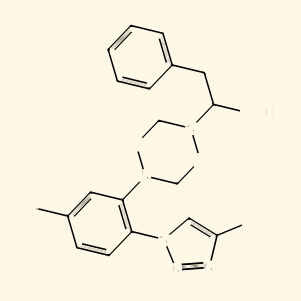 O=C(O)C(Cc1ccccc1)N1CON(c2cc(Cl)ccc2-n2cc(C(F)(F)F)nn2)CO1